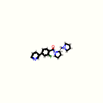 O=C(c1ccc(-c2cccnc2)cc1F)N1CCC[C@H]1CN1CCCC1